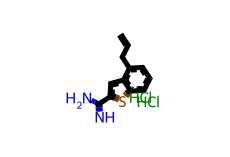 C=CCc1cccc2sc(C(=N)N)cc12.Cl.Cl